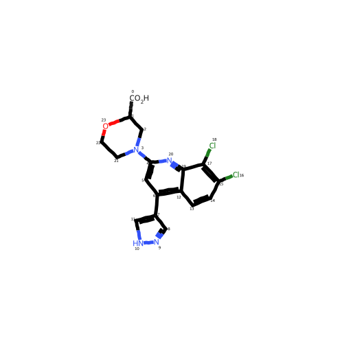 O=C(O)C1CN(c2cc(-c3cn[nH]c3)c3ccc(Cl)c(Cl)c3n2)CCO1